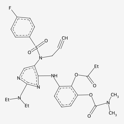 C#CCN(c1cnc(N(CC)CC)nc1Nc1cccc(OC(=O)N(C)C)c1OC(=O)CC)S(=O)(=O)c1ccc(F)cc1